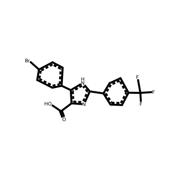 O=C(O)c1nc(-c2ccc(C(F)(F)F)cc2)[nH]c1-c1ccc(Br)cc1